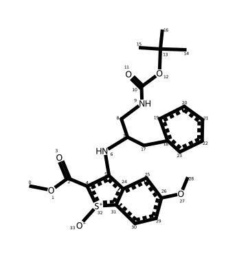 COC(=O)c1c(NC(CNC(=O)OC(C)(C)C)Cc2ccccc2)c2cc(OC)ccc2[s+]1[O-]